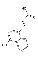 O=C(O)C=Cc1ccc(O)c2ccccc12